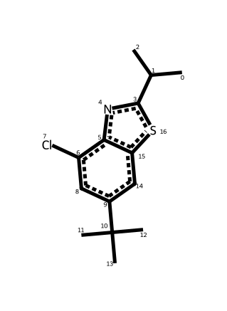 CC(C)c1nc2c(Cl)cc(C(C)(C)C)cc2s1